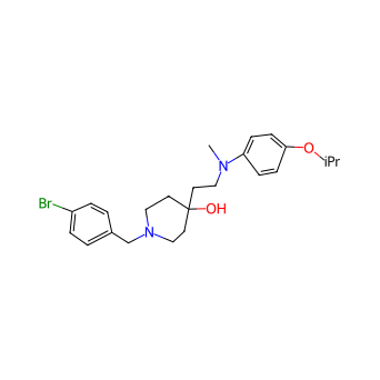 CC(C)Oc1ccc(N(C)CCC2(O)CCN(Cc3ccc(Br)cc3)CC2)cc1